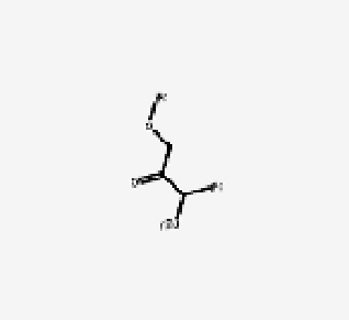 CCCCC(C(=O)COC(C)C)C(C)C